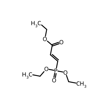 CCOC(=O)C=CP(=O)(OCC)OCC